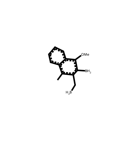 BCc1c(B)c(OC)c2ccccc2c1C